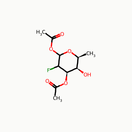 CC(=O)OC1O[C@@H](C)[C@@H](O)[C@@H](OC(C)=O)C1F